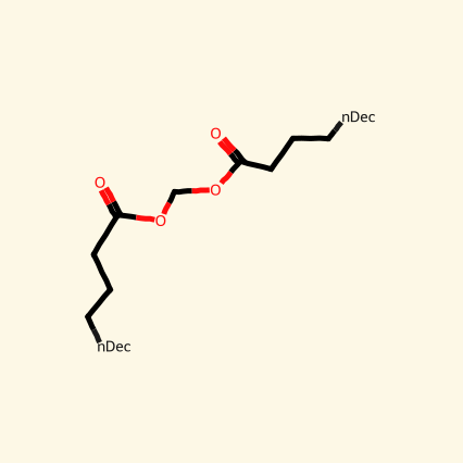 CCCCCCCCCCCCCC(=O)OCOC(=O)CCCCCCCCCCCCC